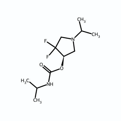 CC(C)NC(=O)O[C@@H]1CN(C(C)C)CC1(F)F